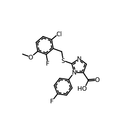 COc1ccc(Cl)c(CSc2ncc(C(=O)O)n2-c2ccc(F)cc2)c1F